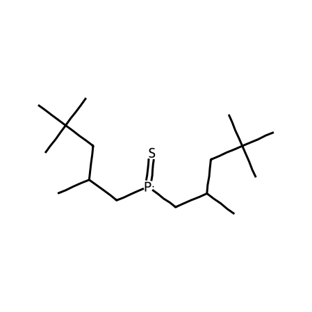 CC(C[P](=S)CC(C)CC(C)(C)C)CC(C)(C)C